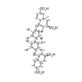 CC12C=C(S(=O)(=O)O)C=CC1C(Oc1c(F)c(F)c(-c3c(F)c(F)c(Oc4cc(S(=O)(=O)O)cc5cc(S(=O)(=O)O)ccc45)c(F)c3F)c(F)c1F)=CC(S(=O)(=O)O)=C2